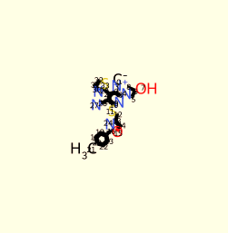 [C-]#[N+]c1c(N2CC(O)C2)nc(SCc2coc(-c3ccc(C)cc3)n2)c(C#N)c1-c1nccs1